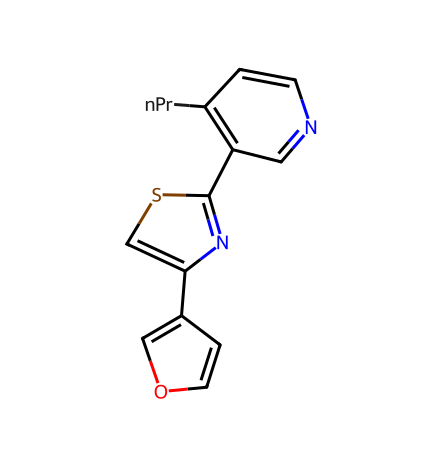 CCCc1ccncc1-c1nc(-c2ccoc2)cs1